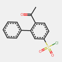 CC(=O)c1ccc(S(=O)(=O)Cl)cc1-c1ccccc1